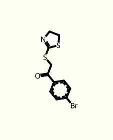 O=C(CSC1=NCCS1)c1ccc(Br)cc1